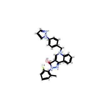 Cc1cccc(F)c1-n1nc2c3ccccc3n(Cc3ccc(-n4cccn4)cc3)cc-2c1=O